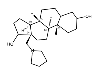 C[C@]12CCC(O)CC1CC[C@H]1[C@@H]3CCC(O)[C@@]3(CN3CCCC3)CC[C@@H]12